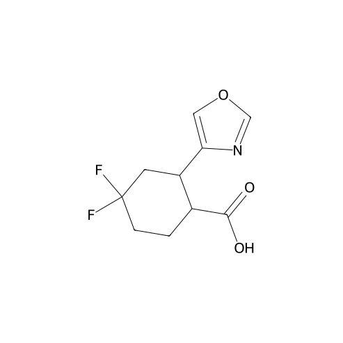 O=C(O)C1CCC(F)(F)CC1c1cocn1